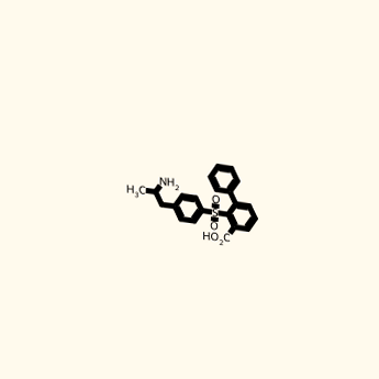 CC(N)Cc1ccc(S(=O)(=O)c2c(C(=O)O)cccc2-c2ccccc2)cc1